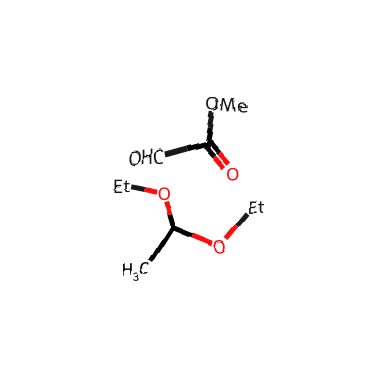 CCOC(C)OCC.COC(=O)C=O